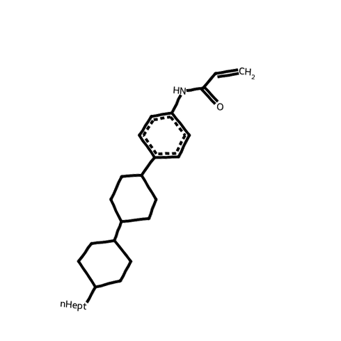 C=CC(=O)Nc1ccc(C2CCC(C3CCC(CCCCCCC)CC3)CC2)cc1